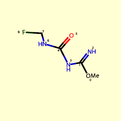 COC(=N)NC(=O)NCF